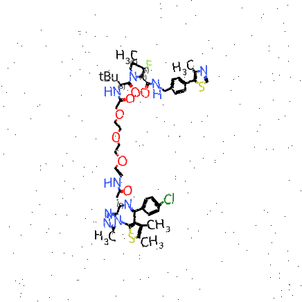 Cc1ncsc1-c1ccc(CNC(=O)[C@@H]2[C@@H](F)[C@@H](C)CN2C(=O)[C@@H](NC(=O)COCCOCCOCCNC(=O)C[C@@H]2N=C(c3ccc(Cl)cc3)c3c(sc(C)c3C)-n3c(C)nnc32)C(C)(C)C)cc1